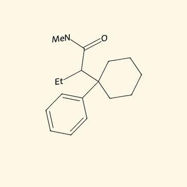 CCC(C(=O)NC)C1(c2ccccc2)CCCCC1